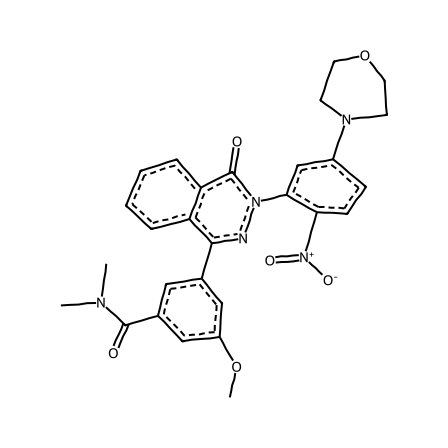 COc1cc(C(=O)N(C)C)cc(-c2nn(-c3cc(N4CCOCC4)ccc3[N+](=O)[O-])c(=O)c3ccccc23)c1